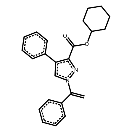 C=C(c1ccccc1)n1cc(-c2ccccc2)c(C(=O)OC2CCCCC2)n1